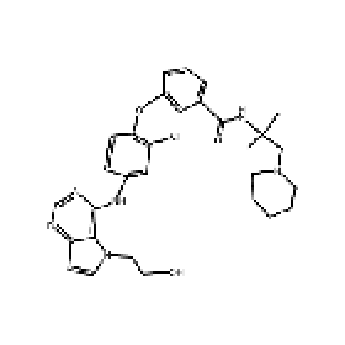 CC(C)(CN1CCCCC1)NC(=O)c1cccc(Oc2ccc(Nc3ncnc4ccn(CCO)c34)cc2Cl)c1